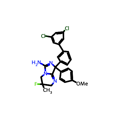 COc1ccc(C2(c3cccc(-c4cc(Cl)cc(Cl)c4)c3)N=C(N)N3CC(C)(F)CN=C32)cc1